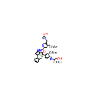 COCc1cc(C(=O)NC2(/C=C(\F)c3ccc(CNC(CO)C(=O)O)c(OC)c3)C=CC=C(c3ccccc3C)C2C)ncc1CN1CC[C@H](O)C1